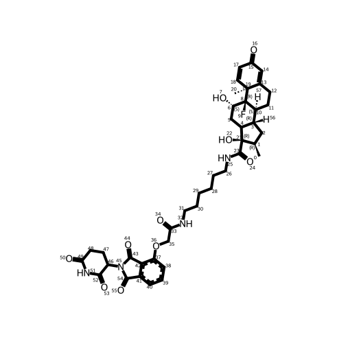 C[C@@H]1C[C@@H]2C(C[C@H](O)[C@@]3(F)[C@H]2CCC2=CC(=O)C=C[C@@]23C)[C@@]1(O)C(=O)NCCCCCCNC(=O)COc1cccc2c1C(=O)N(C1CCC(=O)NC1=O)C2=O